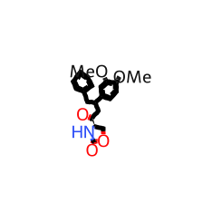 COc1ccc(C(CC(=O)[C@@H]2COC(=O)N2)Cc2ccccc2)cc1OC